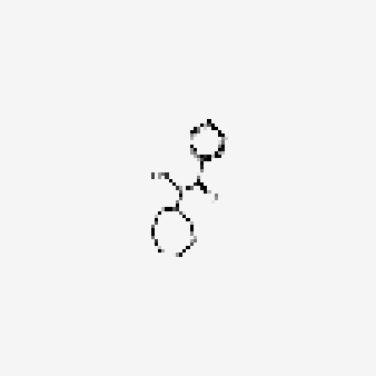 [NH]C(C(=O)c1ccccc1)C1CCCCCC1